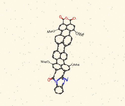 COc1cc2c3c(cc(OC)c4c5ccc6c7ccc8c9c(OC)cc%10c%11c(cc(OC)c(c%12ccc(c%13ccc(c1c34)c5c%136)c7c%128)c9%11)c(=O)n1c3ccccc3nc%101)C(=O)OC2=O